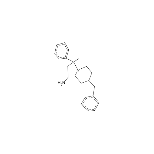 CC(CCN)(c1ccccc1)N1CCC(Cc2ccccc2)CC1